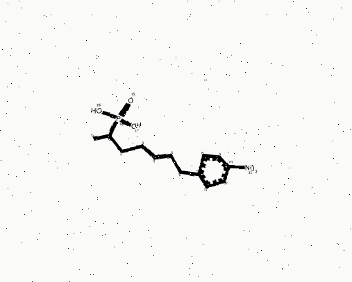 CC(CCCCCc1ccc([N+](=O)[O-])cc1)P(=O)(O)O